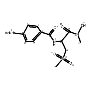 CC(=O)Nc1ccc(C(=O)NC(CS(C)(=O)=O)C(=O)N(C)C#N)cc1